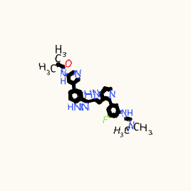 CC(C)C(=O)Nc1cncc(-c2ccc3[nH]nc(-c4cc5c(-c6cc(F)cc(NCCN(C)C)c6)nccc5[nH]4)c3c2)c1